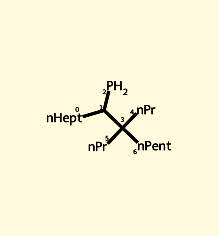 CCCCCCCC(P)C(CCC)(CCC)CCCCC